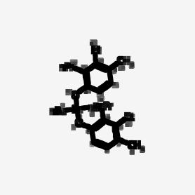 CCC[CH2][Sn]([CH2]CCC)([O]c1ccc(C)c(CC)c1CCC)[O]c1ccc(C)c(CC)c1CCC